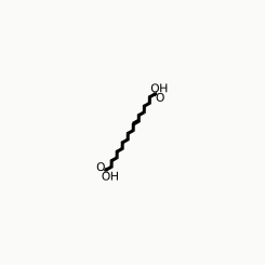 O=C(O)CCCCCC=CCCCCCCCCCC(=O)O